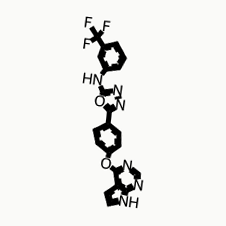 FC(F)(F)c1cccc(Nc2nnc(-c3ccc(Oc4ncnc5[nH]ccc45)cc3)o2)c1